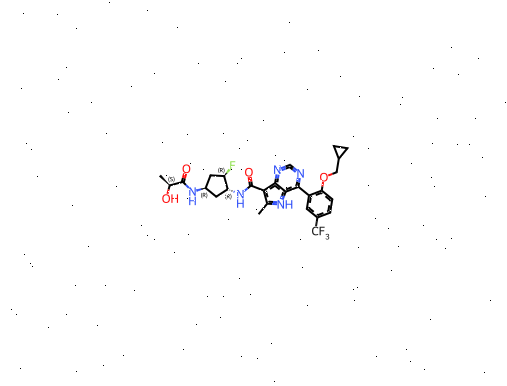 Cc1[nH]c2c(-c3cc(C(F)(F)F)ccc3OCC3CC3)ncnc2c1C(=O)N[C@@H]1C[C@@H](NC(=O)[C@H](C)O)C[C@H]1F